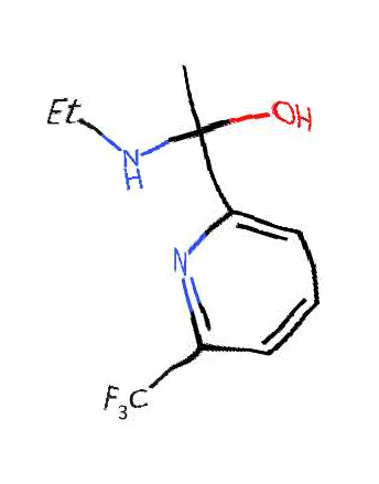 CCNC(C)(O)c1cccc(C(F)(F)F)n1